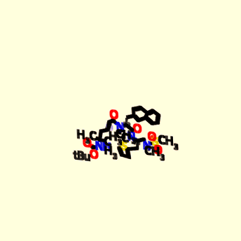 CN(C(=O)[C@@H](Cc1ccc2ccccc2c1)N(C)C(=O)/C=C/CC(C)(C)NC(=O)OC(C)(C)C)[C@H](Cc1cccs1)CN(C)S(C)(=O)=O